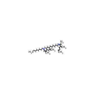 CCCCCCCCN(CCCCCCCCCC[N]C(C)C(C)CCCC)CC(C)CCCC